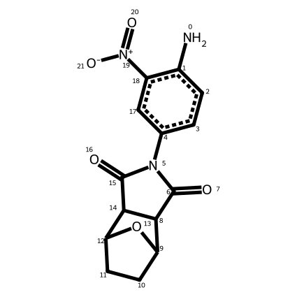 Nc1ccc(N2C(=O)C3C4CCC(O4)C3C2=O)cc1[N+](=O)[O-]